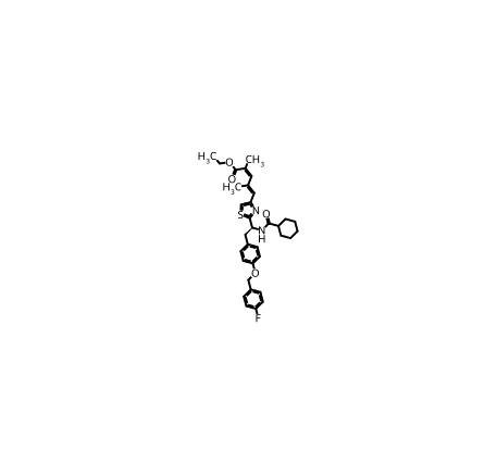 CCOC(=O)/C(C)=C\C(C)=C\c1csc([C@H](Cc2ccc(OCc3ccc(F)cc3)cc2)NC(=O)C2CCCCC2)n1